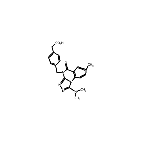 Cc1ccc2c(c1)c(=O)n(Cc1ccc(CC(=O)O)cc1)c1nnc(N(C)C)n21